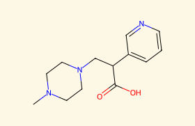 CN1CCN(CC(C(=O)O)c2cccnc2)CC1